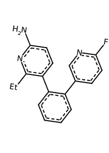 CCc1nc(N)ccc1-c1ccccc1-c1ccc(F)nc1